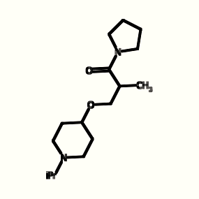 CC(COC1CCN(C(C)C)CC1)C(=O)N1CCCC1